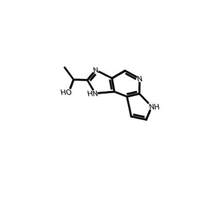 CC(O)c1nc2cnc3[nH]ccc3c2[nH]1